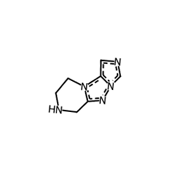 c1ncn2nc3n(c12)CCNC3